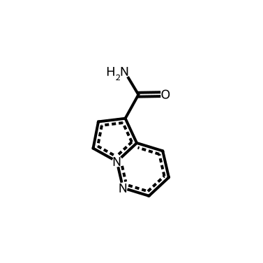 NC(=O)c1ccn2ncccc12